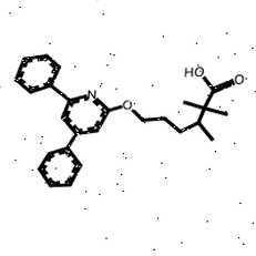 CC(CCCOc1cc(-c2ccccc2)cc(-c2ccccc2)n1)C(C)(C)C(=O)O